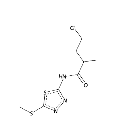 CSc1nnc(NC(=O)C(C)CCCl)s1